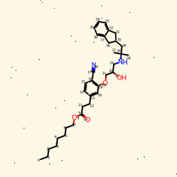 CCCCCCCCOC(=O)CCc1ccc(C#N)c(OCC(O)CNC(C)(C)CC2Cc3ccccc3C2)c1